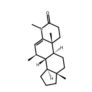 C[C@H]1C=C2N(C)C(=O)CC[C@]2(C)[C@H]2CC[C@]3(C)CCC[C@H]3[C@H]12